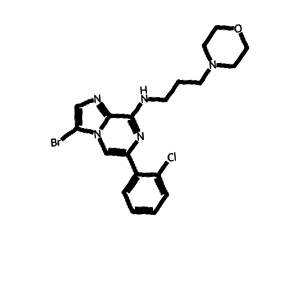 Clc1ccccc1-c1cn2c(Br)cnc2c(NCCCN2CCOCC2)n1